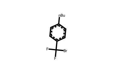 CCCCc1ccc(C(F)(F)Br)cc1